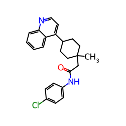 CC1(CC(=O)Nc2ccc(Cl)cc2)CCC(c2ccnc3ccccc23)CC1